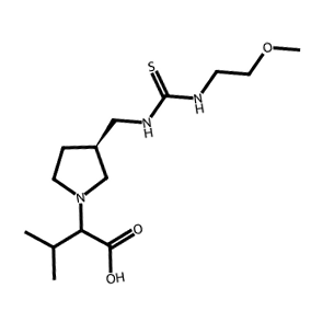 COCCNC(=S)NC[C@@H]1CCN(C(C(=O)O)C(C)C)C1